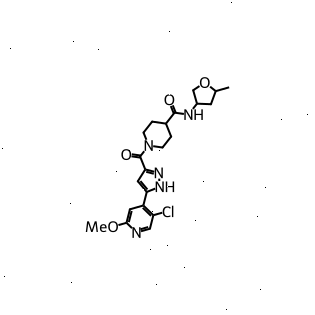 COc1cc(-c2cc(C(=O)N3CCC(C(=O)NC4COC(C)C4)CC3)n[nH]2)c(Cl)cn1